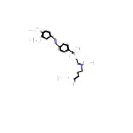 CC(C)=CCC/C(C)=C/COC(=O)c1ccc(/C=C/c2ccc(O)c(O)c2)cc1